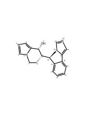 O[C@H]1c2cncn2CC[C@H]1[C@@H]1c2ccccc2-c2cncn21